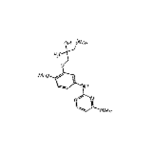 CNCC(C)(O)COc1cc(Nc2nccc(NC)n2)ccc1OC